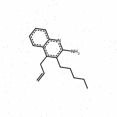 C=CCc1c(CCCCC)c(N)nc2ccccc12